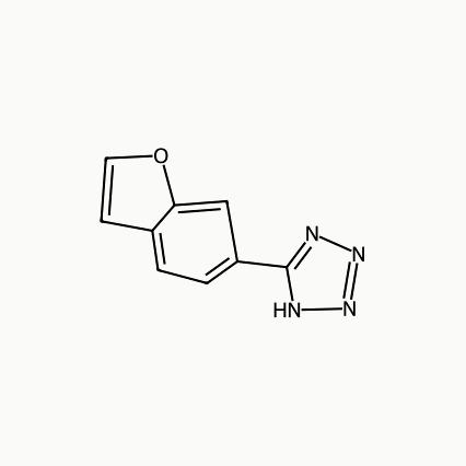 c1cc2ccc(-c3nnn[nH]3)cc2o1